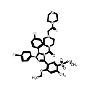 CCOc1cc(C)c(S(=O)(=O)NC)cc1C1=N[C@@H](c2ccc(Cl)cc2)[C@@H](c2ccc(Cl)cc2)N1C(=O)N1CCN(CC(=O)N2CCOCC2)CC1